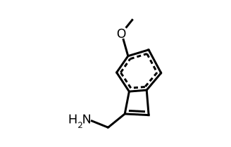 COc1ccc2c(c1)C(CN)=C2